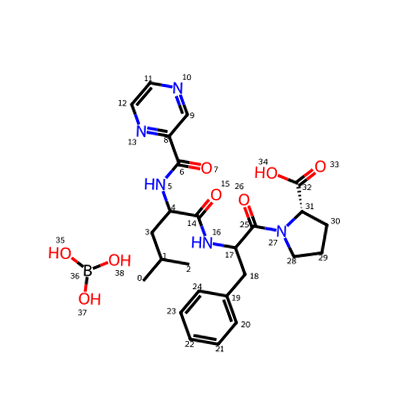 CC(C)CC(NC(=O)c1cnccn1)C(=O)NC(Cc1ccccc1)C(=O)N1CCC[C@H]1C(=O)O.OB(O)O